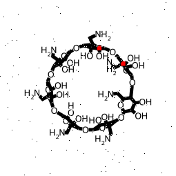 NCC1OC2OC3C(CN)OC(OC4C(CN)OC(OC5C(CN)OC(OC6C(CN)OC(OC7C(CN)OC(OC8C(CN)OC(OC1C(O)C2O)C(O)C8O)C(O)C7O)C(O)C6O)C(O)C5O)C(O)C4O)C(O)C3O